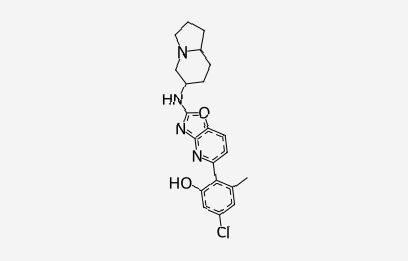 Cc1cc(Cl)cc(O)c1-c1ccc2oc(NC3CCC4CCCN4C3)nc2n1